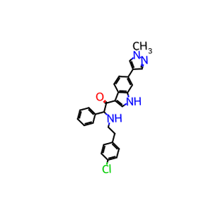 Cn1cc(-c2ccc3c(C(=O)C(NCCc4ccc(Cl)cc4)c4ccccc4)c[nH]c3c2)cn1